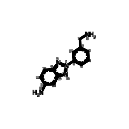 NCc1cccc(-n2nc3ccc(N)cc3n2)c1